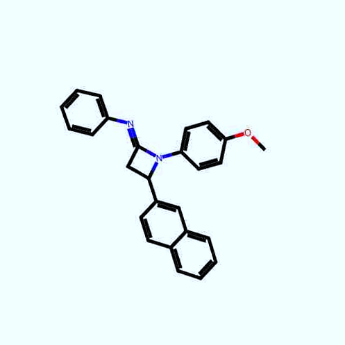 COc1ccc(N2/C(=N/c3ccccc3)CC2c2ccc3ccccc3c2)cc1